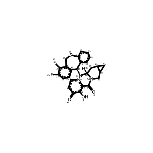 O=C1c2c(O)c(=O)ccn2N([C@@H]2c3ccccc3SCc3c2ccc(F)c3F)[C@@H]2CC3CC3CN12